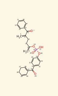 C=C(CCC(=C)C(=O)c1ccccc1)OP(=O)(O)Oc1ccc(C(=O)C2=CCCC=C2)cc1